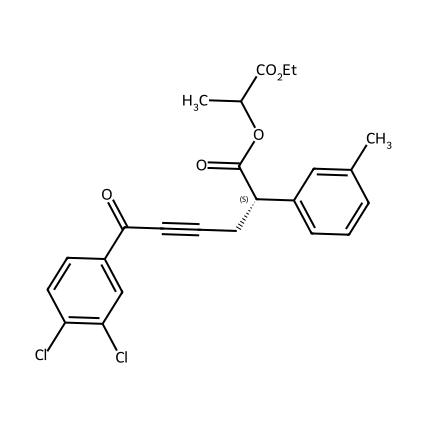 CCOC(=O)C(C)OC(=O)[C@@H](CC#CC(=O)c1ccc(Cl)c(Cl)c1)c1cccc(C)c1